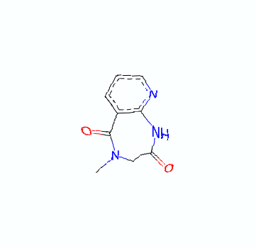 CN1CC(=O)Nc2ncccc2C1=O